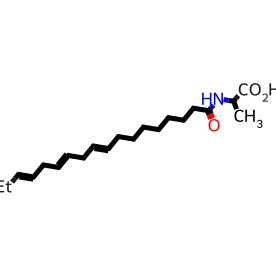 CCC=CCC=CCC=CCCCCCCCC(=O)NC(C)C(=O)O